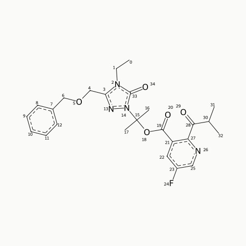 CCn1c(COCc2ccccc2)nn(C(C)(C)OC(=O)c2cc(F)cnc2C(=O)C(C)C)c1=O